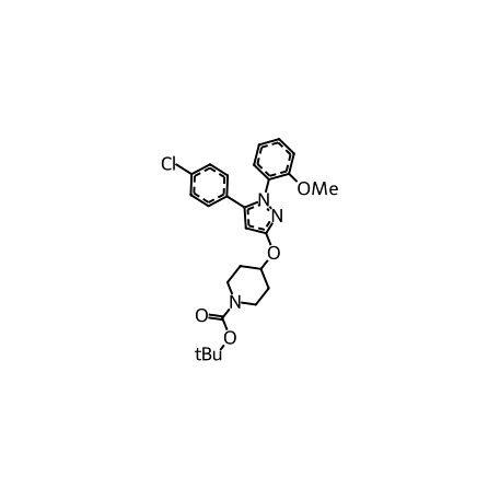 COc1ccccc1-n1nc(OC2CCN(C(=O)OC(C)(C)C)CC2)cc1-c1ccc(Cl)cc1